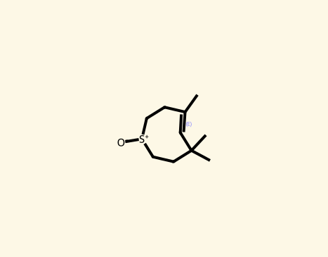 C/C1=C\C(C)(C)CC[S+]([O-])CC1